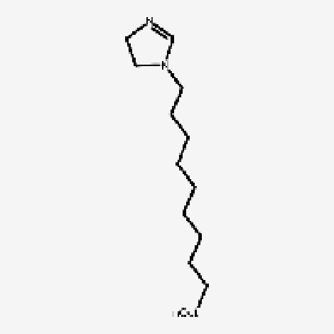 CCCCCCCCCCCCCCCCCN1C=NCC1